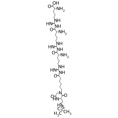 CC(C)(C)SSCC1NC(=O)CN(CCCCCC(=O)NC(=N)NCCCC(N)C(=O)NC(=N)NCCCC(N)C(=O)NC(=N)NCCCC(N)C(=O)O)C1=O